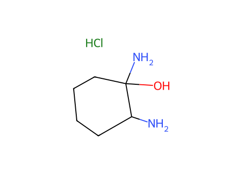 Cl.NC1CCCCC1(N)O